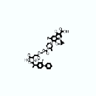 COc1c(N2CCN(C(=O)OCOC(=O)CC(NC(=O)C(C)c3ccc(-c4ccccc4)c(F)c3)C(=O)O)C(C)C2)c(F)cc2c(=O)c(C(=O)O)cn(C3CC3)c12